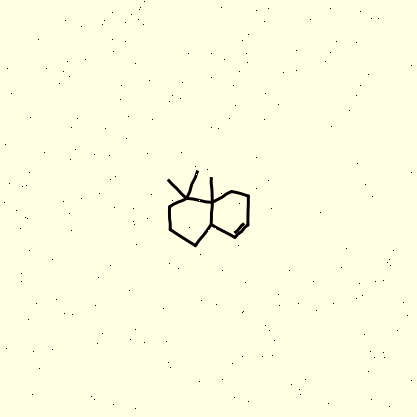 CC1(C)CCCC2C=CCCC21C